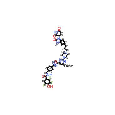 COc1cc(-c2nc(C34CCC(CNC(=O)c5cc(F)c(O)c(F)c5F)(CC3)CC4)no2)nc(N2CCN(CCCc3ccc4c(c3)n(C)c(=O)n4[C@@H]3CCC(=O)NC3=O)CC2)n1